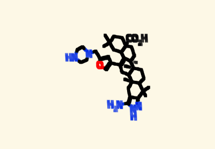 CC1(C)CCC2(C(=O)O)CC[C@]3(C)C(=C(c4coc(CN5CCNCC5)c4)CC4[C@@]5(C)Cc6c(n[nH]c6N)C(C)(C)C5CC[C@]43C)C2C1